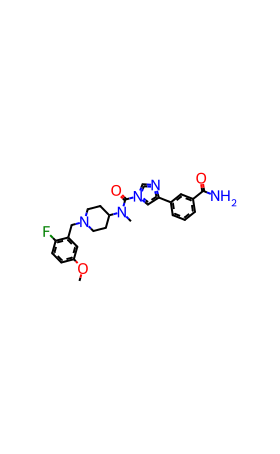 COc1ccc(F)c(CN2CCC(N(C)C(=O)n3cnc(-c4cccc(C(N)=O)c4)c3)CC2)c1